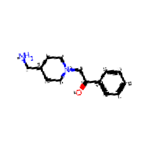 NCC1CCN(CC(=O)c2ccccc2)CC1